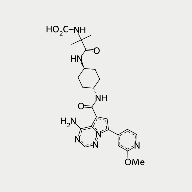 COc1cc(-c2cc(C(=O)N[C@H]3CC[C@H](NC(=O)C(C)(C)NC(=O)O)CC3)c3c(N)ncnn23)ccn1